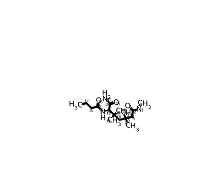 C=NC(=O)CC(C)(C)CC(C)(C)[C@@H](NC(=O)CCC)C(N)=O